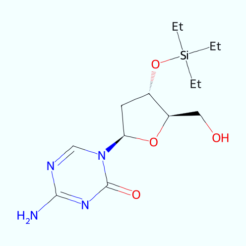 CC[Si](CC)(CC)O[C@H]1C[C@H](n2cnc(N)nc2=O)O[C@@H]1CO